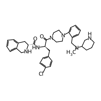 CN(Cc1ccccc1N1CCN(C(=O)[C@@H](Cc2ccc(Cl)cc2)NC(=O)[C@H]2Cc3ccccc3CN2)CC1)C1CCCNC1